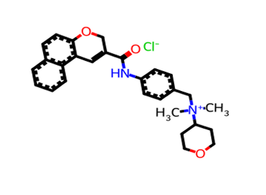 C[N+](C)(Cc1ccc(NC(=O)C2=Cc3c(ccc4ccccc34)OC2)cc1)C1CCOCC1.[Cl-]